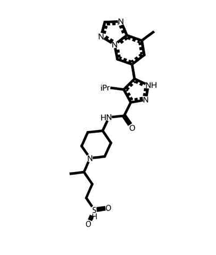 Cc1cc(-c2[nH]nc(C(=O)NC3CCN(C(C)CC[SH](=O)=O)CC3)c2C(C)C)cn2ncnc12